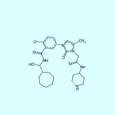 Cc1cn(-c2ccc(Cl)c(C(=O)NC(O)C3CCCCCC3)c2)c(=O)n1CC(=O)NC1CCNCC1